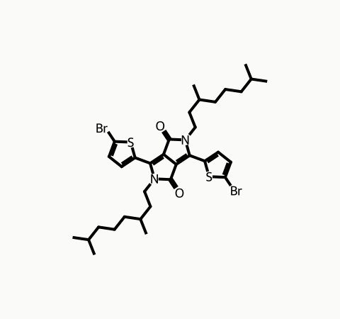 CC(C)CCCC(C)CCN1C(=O)C2=C(c3ccc(Br)s3)N(CCC(C)CCCC(C)C)C(=O)C2=C1c1ccc(Br)s1